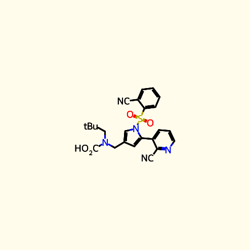 CC(C)(C)CN(Cc1cc(-c2cccnc2C#N)n(S(=O)(=O)c2ccccc2C#N)c1)C(=O)O